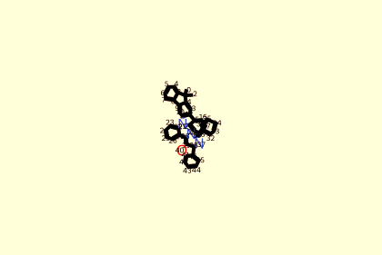 CC1(C)c2ccccc2-c2cc3c(cc21)c1ccccc1n3-c1ccccc1-c1nc(-c2ccccc2)nc2c1oc1ccccc12